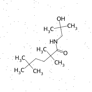 CC(C)(C)CCC(C)(C)C(=O)NCC(C)(C)O